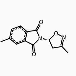 CC1=NO[C@@H](N2C(=O)c3ccc(C)cc3C2=O)C1